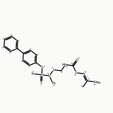 CCP(=S)(Oc1ccc(-c2ccccc2)cc1)N(SCNC(=O)O/N=C(\C)SC)C(C)C